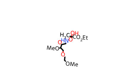 CCOC(=O)C(C)(O)ONCC(=O)C(COCCOC)OC